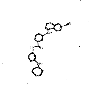 N#Cc1ccc2c(Nc3cccc(C(=O)Nc4cccc(Nc5ccccc5)c4)c3)ccnc2c1